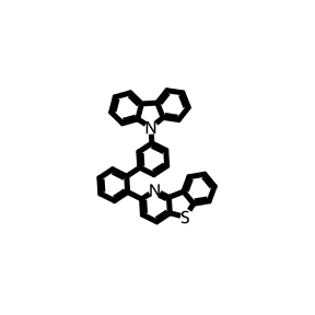 c1cc(-c2ccccc2-c2ccc3sc4ccccc4c3n2)cc(-n2c3ccccc3c3ccccc32)c1